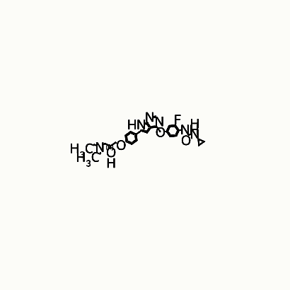 CCN(CC)C[C@@H](O)COc1ccc(-c2cc3c(Oc4ccc(NC(=O)NC5CC5)c(F)c4)ncnc3[nH]2)cc1